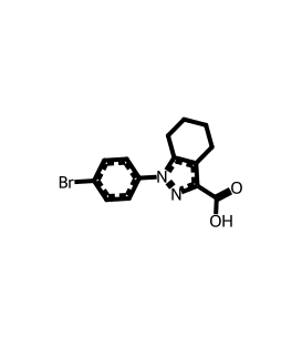 O=C(O)c1nn(-c2ccc(Br)cc2)c2c1CCCC2